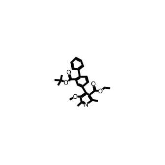 CCOC(=O)c1c(C)nc(C)c(OC)c1-c1ccc(-c2ccccc2)c(C(=O)OC(C)(C)C)c1